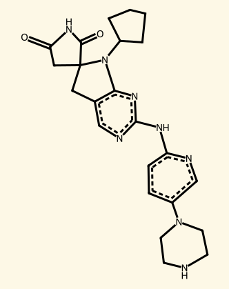 O=C1CC2(Cc3cnc(Nc4ccc(N5CCNCC5)cn4)nc3N2C2CCCC2)C(=O)N1